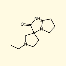 CCN1CCC(C(N)=O)(N2CCCC2)C1